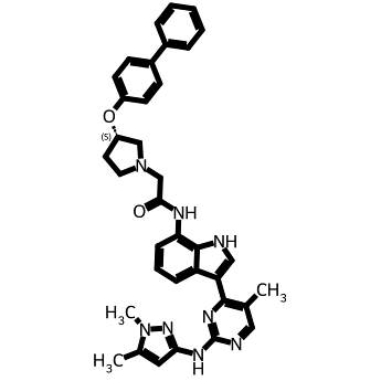 Cc1cnc(Nc2cc(C)n(C)n2)nc1-c1c[nH]c2c(NC(=O)CN3CC[C@H](Oc4ccc(-c5ccccc5)cc4)C3)cccc12